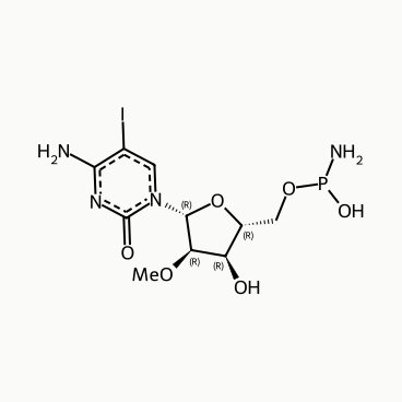 CO[C@@H]1[C@H](O)[C@@H](COP(N)O)O[C@H]1n1cc(I)c(N)nc1=O